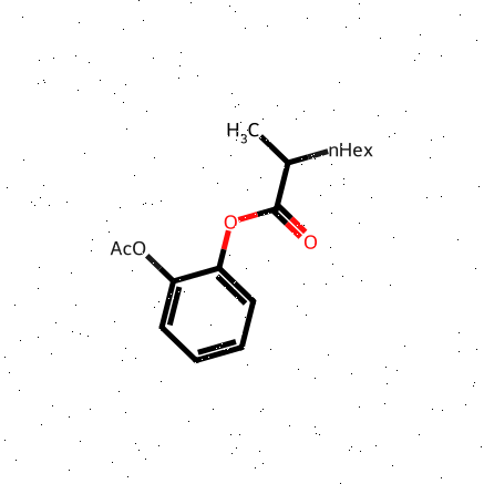 CCCCCCC(C)C(=O)Oc1ccccc1OC(C)=O